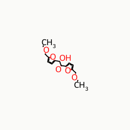 CCOCc1ccc(C(=O)C(O)c2ccc(COCC)o2)o1